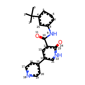 CC(C)(C)c1cccc(NC(=O)c2cc(-c3ccncc3)c[nH]c2=O)c1